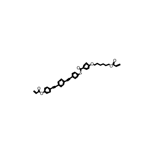 C=CC(=O)OCCCCCCOc1ccc(C(=O)Sc2ccc(C#Cc3ccc(C#Cc4ccc(OC(=O)C=C)cc4)cc3)cc2)cc1